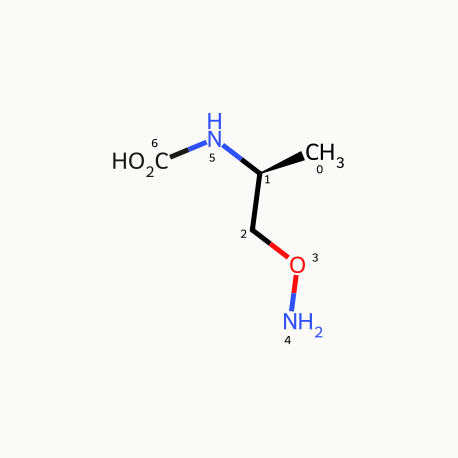 C[C@@H](CON)NC(=O)O